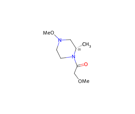 COCC(=O)N1CCN(OC)C[C@@H]1C